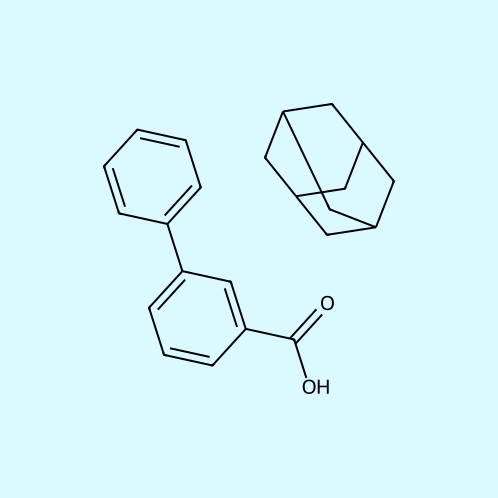 C1C2CC3CC1CC(C2)C3.O=C(O)c1cccc(-c2ccccc2)c1